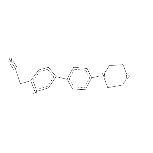 N#CCc1ccc(-c2ccc(N3CCOCC3)cc2)cn1